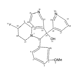 COc1cccc(C(N2CCC(F)CC2)C(O)(c2cccnc2)c2cccnc2)c1